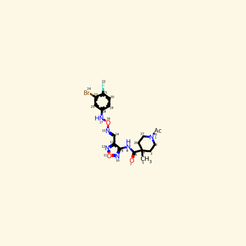 CC(=O)N1CCC(C)(C(=O)Nc2nonc2/C=N/ONc2ccc(F)c(Br)c2)CC1